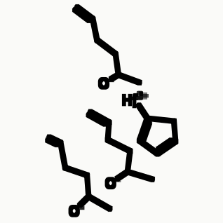 C=CCCC(C)[O-].C=CCCC(C)[O-].C=CCCC(C)[O-].[Hf+3][C]1=CC=CC1